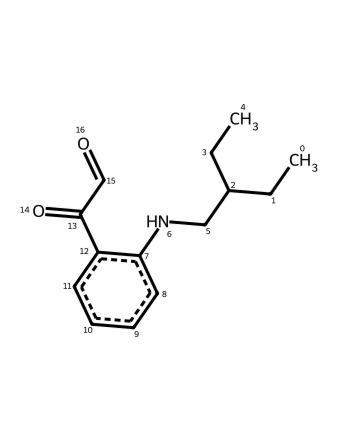 CCC(CC)CNc1ccccc1C(=O)C=O